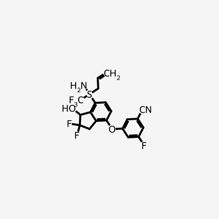 C=CCS(N)(c1ccc(Oc2cc(F)cc(C#N)c2)c2c1C(O)C(F)(F)C2)C(F)(F)F